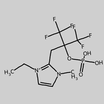 CC[n+]1ccn(C)c1CC(OP(=O)(O)O)(C(F)(F)F)C(F)(F)F